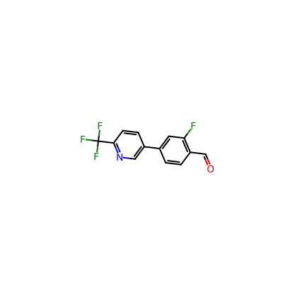 O=Cc1ccc(-c2ccc(C(F)(F)F)nc2)cc1F